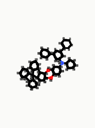 C1=CCCC(c2cc(-c3ccccc3)cc(N(c3ccccc3)c3ccc4c(c3)Oc3c(ccc5c3-c3ccccc3C53c5ccccc5-c5ccccc53)O4)c2)=C1